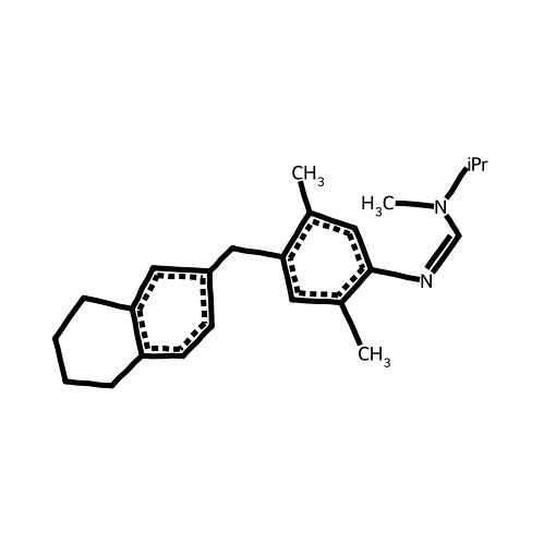 Cc1cc(/N=C\N(C)C(C)C)c(C)cc1Cc1ccc2c(c1)CCCC2